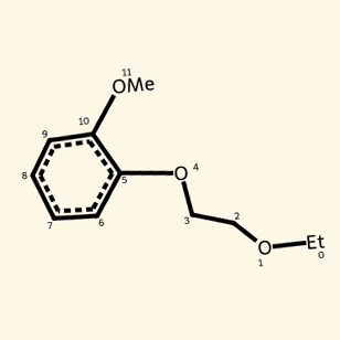 CCOCCOc1ccccc1OC